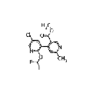 COC(=O)c1cnc(C)cc1-c1cc(Cl)cnc1OC(F)F